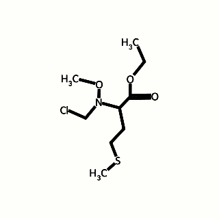 CCOC(=O)C(CCSC)N(CCl)OC